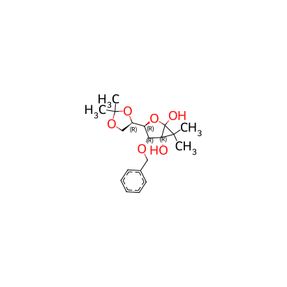 CC1(C)OC[C@H]([C@H]2OC3(O)C(C)(C)[C@@]3(O)[C@@H]2OCc2ccccc2)O1